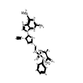 C#C[C@H]1C[C@@H](COP(=O)(N[C@@H](C)C(=O)OC)Oc2ccccc2)O[C@H]1n1cnc2c(NC)nc(N)nc21